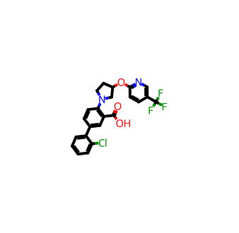 O=C(O)c1cc(-c2ccccc2Cl)ccc1N1CCC(Oc2ccc(C(F)(F)F)cn2)C1